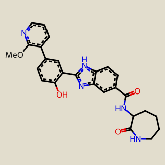 COc1ncccc1-c1ccc(O)c(-c2nc3cc(C(=O)NC4CCCCNC4=O)ccc3[nH]2)c1